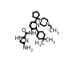 CCN1CCN(C2(c3ccc(NC(=O)c4nc(N)c[nH]4)c(C4=CCC(C)(C)CC4)n3)CCCC2)CC1